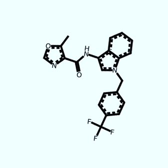 Cc1ocnc1C(=O)Nc1cn(Cc2ccc(C(F)(F)F)cc2)c2ccccc12